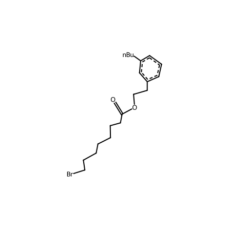 CCCCc1cccc(CCOC(=O)CCCCCCCBr)c1